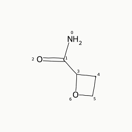 NC(=O)C1CCO1